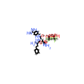 N=C(N)c1ccc(CNC(=O)[C@H](CCC(N)=O)NC(=O)[C@H](N)CCc2ccccc2)cc1.O=C(O)C(F)(F)F.O=C(O)C(F)(F)F